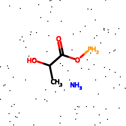 CC(O)C(=O)OP.N